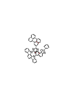 c1ccc(-c2nc3cccc(-c4nc(-c5cccc(-c6cccc7cccc(-c8ccccc8)c67)c5)nc(-n5c6ccccc6c6ccc7c8ccccc8n(-c8ccccc8)c7c65)n4)c3o2)cc1